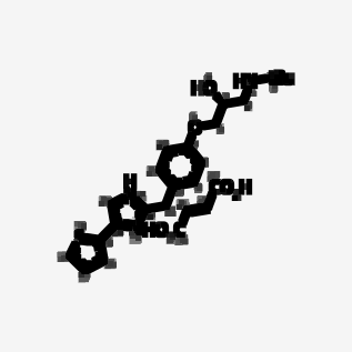 CC(C)(C)NC[C@H](O)COc1ccc(Cc2nc(-c3cccs3)c[nH]2)cc1.O=C(O)C=CC(=O)O